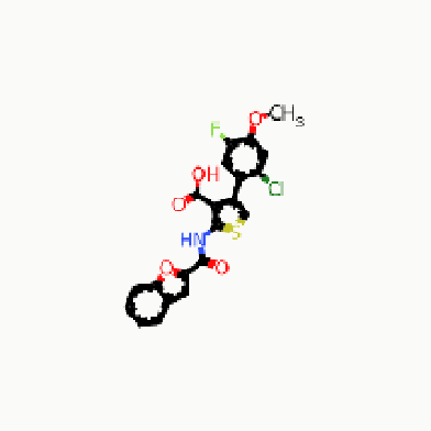 COc1cc(Cl)c(-c2csc(NC(=O)c3cc4ccccc4o3)c2C(=O)O)cc1F